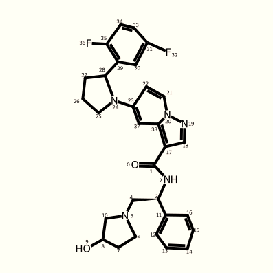 O=C(N[C@H](CN1CCC(O)C1)c1ccccc1)c1cnn2ccc(N3CCCC3c3cc(F)ccc3F)cc12